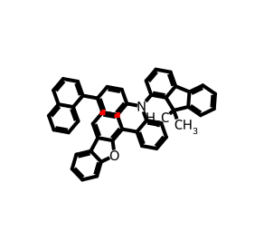 CC1(C)c2ccccc2-c2cccc(N(c3ccc(-c4cccc5ccccc45)cc3)c3ccccc3-c3cccc4c3oc3ccccc34)c21